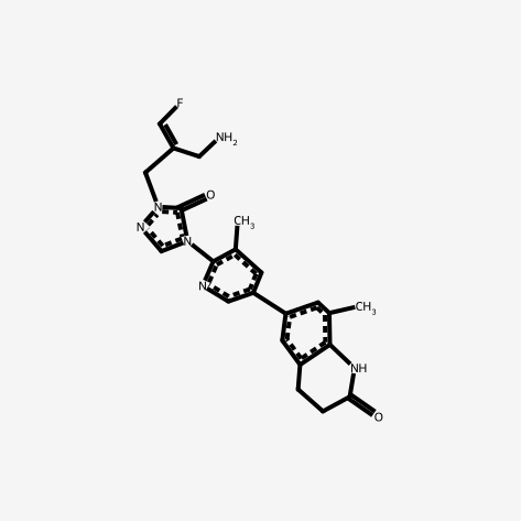 Cc1cc(-c2cc(C)c3c(c2)CCC(=O)N3)cnc1-n1cnn(C/C(=C/F)CN)c1=O